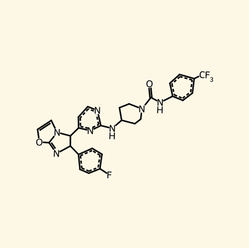 O=C(Nc1ccc(C(F)(F)F)cc1)N1CCC(Nc2nccc(C3C(c4ccc(F)cc4)N=C4OC=CN43)n2)CC1